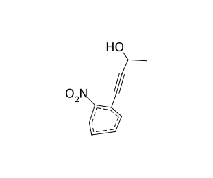 CC(O)C#Cc1ccccc1[N+](=O)[O-]